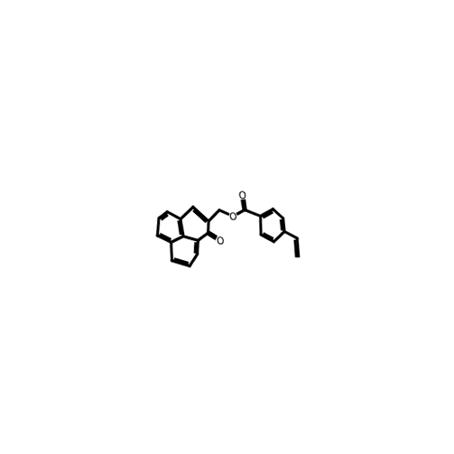 C=Cc1ccc(C(=O)OCC2=Cc3cccc4cccc(c34)C2=O)cc1